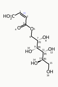 O=C(O)/C=C\C(=O)OC[C@H](O)[C@@H](O)[C@H](O)[C@H](O)CO